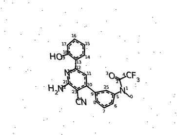 CN(C(=O)C(F)(F)F)c1cccc(-c2cc(-c3ccccc3O)nc(N)c2C#N)c1